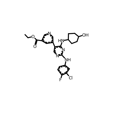 CCOC(=O)c1cncc(-c2cnc(Nc3ccc(F)c(Cl)c3)nc2NC2CCC(O)CC2)c1